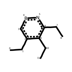 CCc1cbnc(CC)c1CC